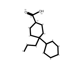 CCCC1(C2CCCCC2)CCC(C(=O)O)CC1